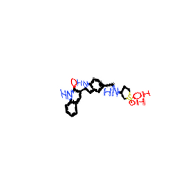 O=c1[nH]c2ccccc2cc1-c1cc2cc(CNC3CCS(O)(O)C3)ccc2[nH]1